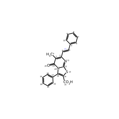 Cc1c(/C=C/c2ccccc2)nc2sc(C(=O)O)c(-c3ccccc3)n2c1=O